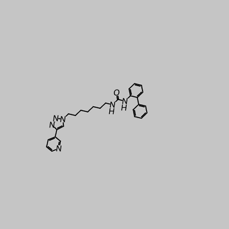 O=C(NCCCCCCCn1cc(-c2cccnc2)nn1)Nc1ccccc1-c1ccccc1